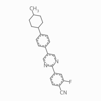 CC1CCC(c2ccc(-c3cnc(-c4ccc(C#N)c(F)c4)nc3)cc2)CC1